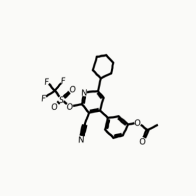 CC(=O)Oc1cccc(-c2cc(C3CCCCC3)nc(OS(=O)(=O)C(F)(F)F)c2C#N)c1